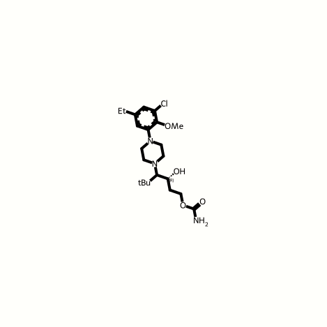 CCc1cc(Cl)c(OC)c(N2CCN(C([C@H](O)CCOC(N)=O)C(C)(C)C)CC2)c1